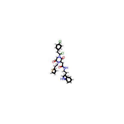 O=C(CC1C(=O)N(C(Cl)Cc2ccc(Cl)cc2)CC(=O)N1CCc1cccs1)NCCc1c[nH]c2ccccc12